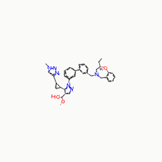 CC[C@@H]1CN(Cc2cccc(-c3cccc(-n4ncc(C(O)OC)c4C4CC4c4cn(C)nn4)c3)c2)Cc2ccccc2O1